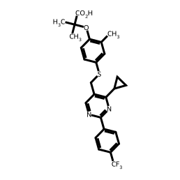 Cc1cc(SCc2cnc(-c3ccc(C(F)(F)F)cc3)nc2C2CC2)ccc1OC(C)(C)C(=O)O